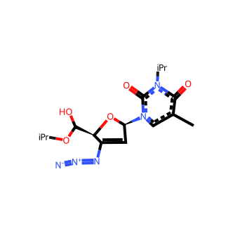 Cc1cn([C@H]2C=C(N=[N+]=[N-])[C@@H](C(O)OC(C)C)O2)c(=O)n(C(C)C)c1=O